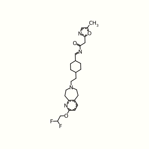 Cc1cnc(CC(=O)/N=C/C2CCC(CCN3CCc4ccc(OCC(F)F)nc4CC3)CC2)o1